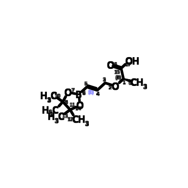 C[C@@H](OC/C=C/B1OC(C)(C)C(C)(C)O1)C(=O)O